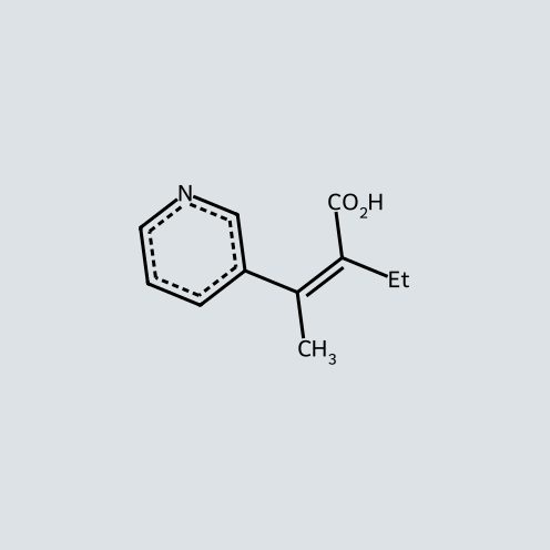 CCC(C(=O)O)=C(C)c1cccnc1